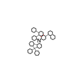 c1ccc(-c2ccccc2-c2ccccc2N(c2ccc(-c3cccc4ccccc34)cc2)c2cccc3c2-c2ccccc2C3(c2ccccc2)c2ccccc2)cc1